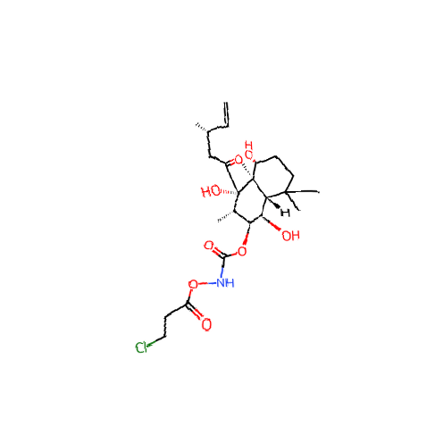 C=C[C@@H](C)CC(=O)[C@]1(O)[C@@H](C)[C@H](OC(=O)NOC(=O)CCCl)[C@H](O)[C@H]2C(C)(C)CC[C@@H](O)[C@@]21C